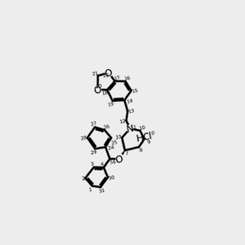 Cl.c1ccc(C(O[C@@H]2CCCN(CCc3ccc4c(c3)OCO4)C2)c2ccccc2)cc1